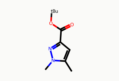 Cc1cc(C(=O)OC(C)(C)C)nn1C